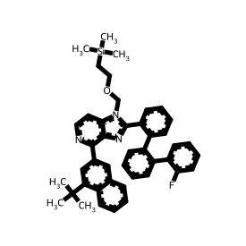 CC(C)(C)c1cc(-c2nccc3c2nc(-c2ccccc2-c2ccccc2-c2ccccc2F)n3COCC[Si](C)(C)C)cc2ccccc12